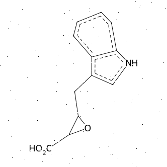 O=C(O)C1OC1Cc1c[nH]c2ccccc12